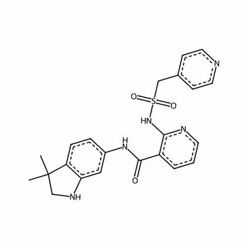 CC1(C)CNc2cc(NC(=O)c3cccnc3NS(=O)(=O)Cc3ccncc3)ccc21